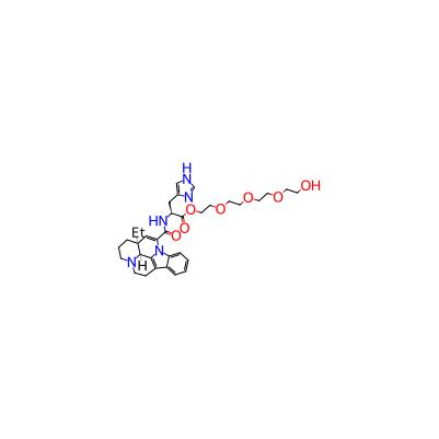 CC[C@@]12C=C(C(=O)N[C@@H](Cc3c[nH]cn3)C(=O)OCCOCCOCCOCCO)n3c4c(c5ccccc53)CCN(CCC1)[C@H]42